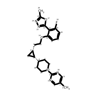 Cc1cnc(N2CCC([C@@H]3C[C@@H]3CCOc3cccc(F)c3-c3nnc(C)o3)CC2)nc1